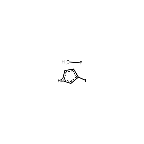 CF.Ic1cc[nH]c1